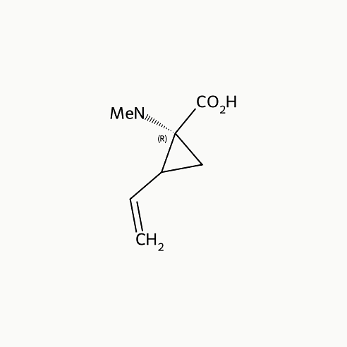 C=CC1C[C@]1(NC)C(=O)O